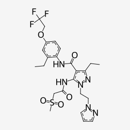 CCc1cc(OCC(F)(F)F)ccc1NC(=O)c1c(CC)nn(CCn2cccn2)c1NC(=O)CS(C)(=O)=O